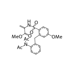 C=C(NS(=O)(=O)c1ccc(OC)cc1Cc1ccccc1N(C(C)=O)C(C)=O)C(=O)OC